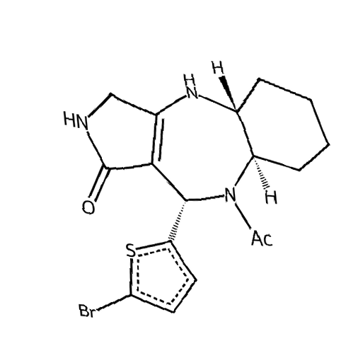 CC(=O)N1[C@@H]2CCCC[C@H]2NC2=C(C(=O)NC2)[C@H]1c1ccc(Br)s1